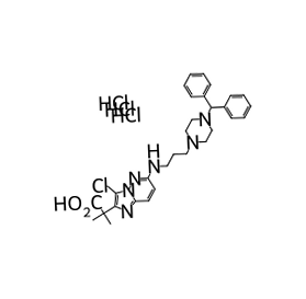 CC(C)(C(=O)O)c1nc2ccc(NCCCN3CCN(C(c4ccccc4)c4ccccc4)CC3)nn2c1Cl.Cl.Cl.Cl